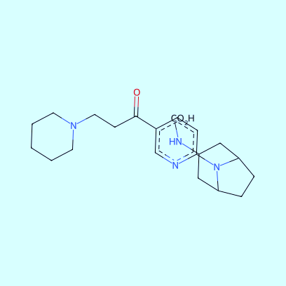 O=C(O)NC1CC2CCC(C1)N2c1ccc(C(=O)CCN2CCCCC2)cn1